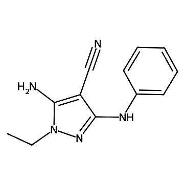 CCn1nc(Nc2ccccc2)c(C#N)c1N